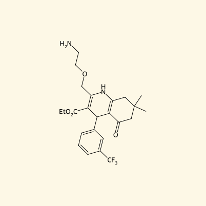 CCOC(=O)C1=C(COCCN)NC2=C(C(=O)CC(C)(C)C2)C1c1cccc(C(F)(F)F)c1